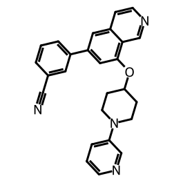 N#Cc1cccc(-c2cc(OC3CCN(c4cccnc4)CC3)c3cnccc3c2)c1